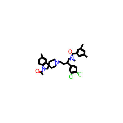 CC(=O)N1CC2(CCN(CCC(CN(C)C(=O)c3cc(C)cc(C)c3)c3ccc(Cl)c(Cl)c3)CC2)c2cc(C)ccc21